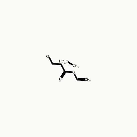 C=COC(=O)CCCl.CC(=O)O